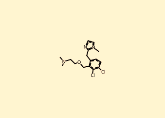 CN(C)CCOCc1c(Cc2nccn2C)ccc(Cl)c1Cl